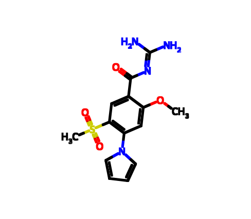 COc1cc(-n2cccc2)c(S(C)(=O)=O)cc1C(=O)N=C(N)N